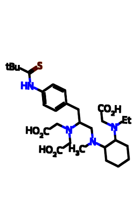 CCN(CC(=O)O)C1CCCCC1N(C)CC(Cc1ccc(NC(=S)C(C)(C)C)cc1)N(CC(=O)O)CC(=O)O